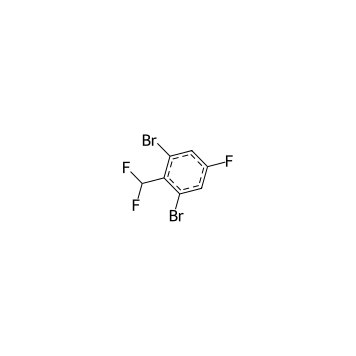 Fc1cc(Br)c(C(F)F)c(Br)c1